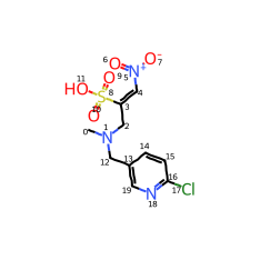 CN(CC(=C[N+](=O)[O-])S(=O)(=O)O)Cc1ccc(Cl)nc1